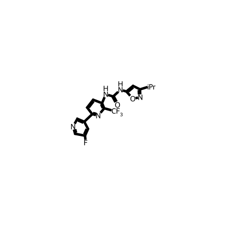 CC(C)c1cc(NC(=O)Nc2ccc(-c3cncc(F)c3)nc2C(F)(F)F)on1